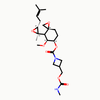 CNC(=O)OCC1CN(C(=O)O[C@@H]2CC[C@]3(CO3)C([C@@]3(C)O[C@@H]3CC=C(C)C)[C@@H]2OC)C1